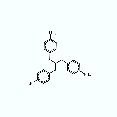 Nc1ccc(CC(Cc2ccc(N)cc2)Cc2ccc(N)cc2)cc1